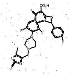 Cc1oc(=O)oc1CN1CCN(c2c(F)cc3c(=O)c(C(=O)O)c4n(c3c2F)C(c2ccc(F)cc2)S4)CC1